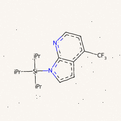 CC(C)[Si](C(C)C)(C(C)C)n1ccc2c(C(F)(F)F)ccnc21